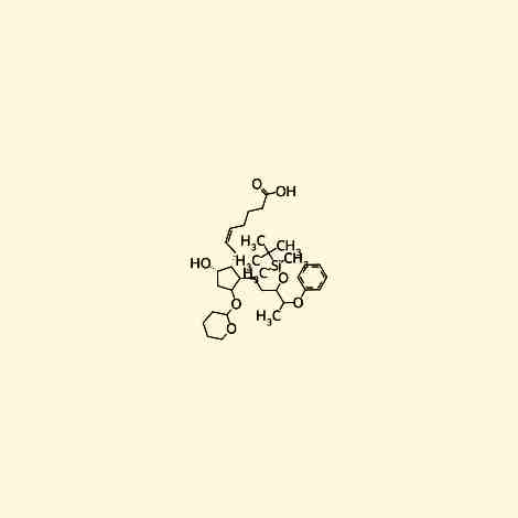 CC(Oc1ccccc1)C(CC[C@H]1C(OC2CCCCO2)C[C@H](O)[C@@H]1C/C=C\CCCC(=O)O)O[Si](C)(C)C(C)(C)C